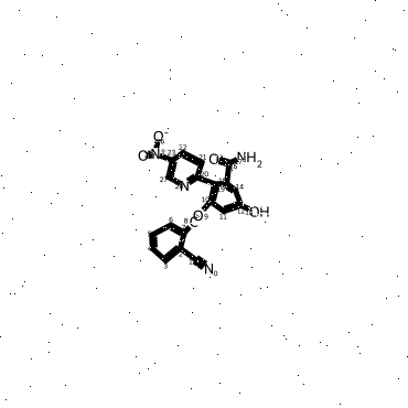 N#Cc1ccccc1COc1cc(O)cc(C(N)=O)c1-c1ccc([N+](=O)[O-])cn1